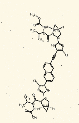 COC(=O)N[C@H](C(=O)N1[C@@H]2C[C@@H]2C[C@H]1c1nc(Cl)c(C#Cc2ccc3cc(-c4[nH]c([C@@H]5C[C@H]6C[C@H]6N5C(=O)[C@@H](NC(=O)O)C(C)C)nc4Cl)ccc3c2)[nH]1)C(C)C